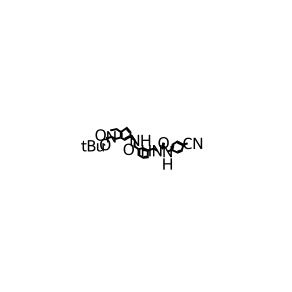 CC(C)(C)OC(=O)N1CCc2ccc(NC(=O)c3cccc(CNC(=O)Nc4ccc(C#N)cc4)c3)cc2C1